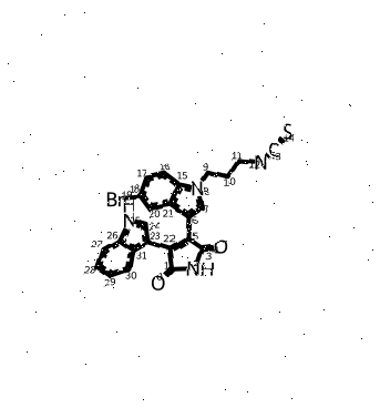 O=C1NC(=O)C(c2cn(CCCN=C=S)c3ccc(Br)cc23)=C1c1c[nH]c2ccccc12